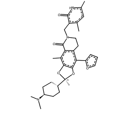 Cc1cc(C)c(CN2CCc3c(c(C)c4c(c3-c3ccco3)O[C@@](C)([C@H]3CC[C@H](N(C)C)CC3)O4)C2=O)c(=O)[nH]1